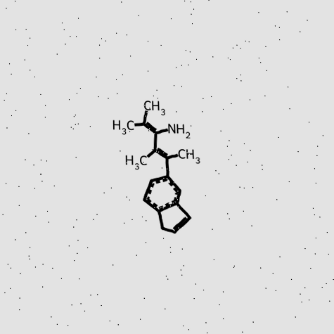 CC(C)=C(N)/C(C)=C(\C)c1ccc2c(c1)C=CC2